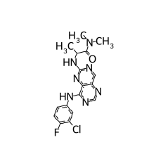 CC(Nc1ncc2ncnc(Nc3ccc(F)c(Cl)c3)c2n1)C(=O)N(C)C